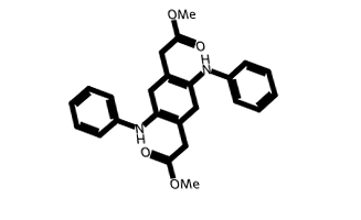 COC(=O)CC1=C(Nc2ccccc2)CC(CC(=O)OC)=C(Nc2ccccc2)C1